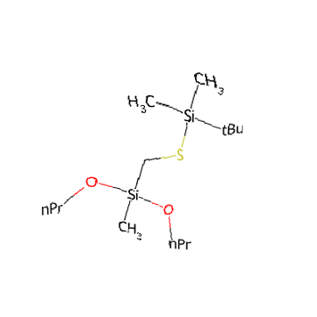 CCCO[Si](C)(CS[Si](C)(C)C(C)(C)C)OCCC